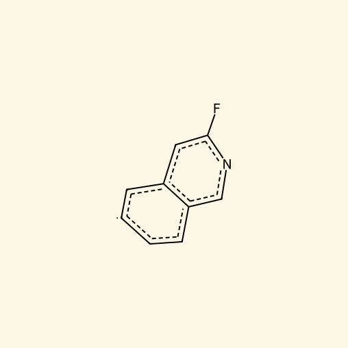 Fc1cc2c[c]ccc2cn1